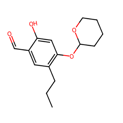 CCCc1cc(C=O)c(O)cc1OC1CCCCO1